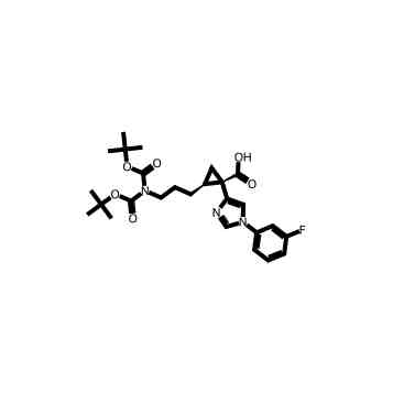 CC(C)(C)OC(=O)N(CCC[C@H]1C[C@]1(C(=O)O)c1cn(-c2cccc(F)c2)cn1)C(=O)OC(C)(C)C